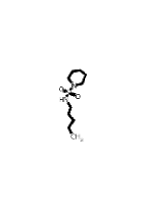 CCCCCNS(=O)(=O)N1CCCCC1